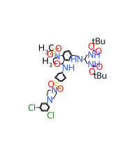 CN(c1ccc(CNC(CNC(=O)OC(C)(C)C)CNC(=O)OC(C)(C)C)cc1C(=O)Nc1ccc(S(=O)(=O)N2CCN(c3cc(Cl)cc(Cl)c3)CC2)cc1)S(C)(=O)=O